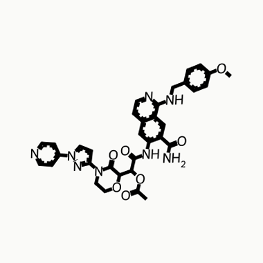 COc1ccc(CNc2nccc3cc(NC(=O)C(OC(C)=O)C4OCCN(c5ccn(-c6ccncc6)n5)C4=O)c(C(N)=O)cc23)cc1